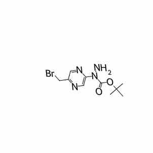 CC(C)(C)OC(=O)N(N)c1cnc(CBr)cn1